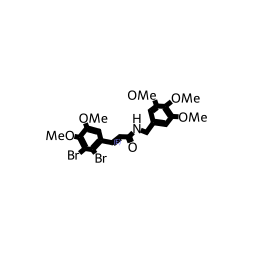 COc1cc(CNC(=O)/C=C/c2cc(OC)c(OC)c(Br)c2Br)cc(OC)c1OC